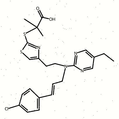 CCc1cnc(N(CC=Cc2ccc(Cl)cc2)CCc2csc(SC(C)(C)C(=O)O)n2)nc1